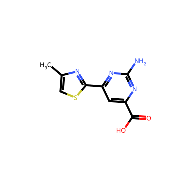 Cc1csc(-c2cc(C(=O)O)nc(N)n2)n1